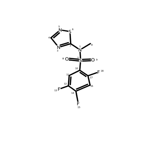 CN(c1ncns1)S(=O)(=O)c1cc(F)c(F)cc1F